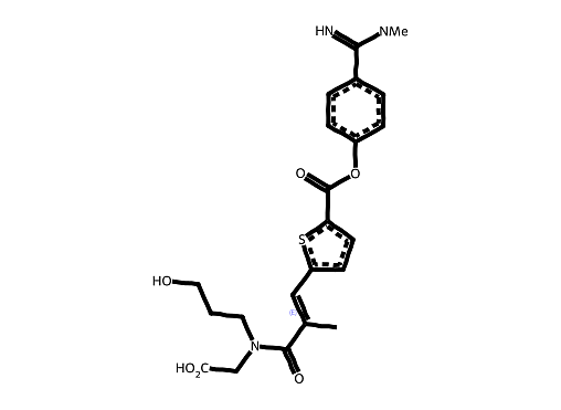 CNC(=N)c1ccc(OC(=O)c2ccc(/C=C(\C)C(=O)N(CCCO)CC(=O)O)s2)cc1